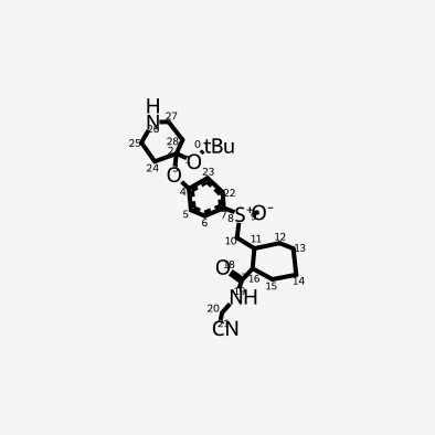 CC(C)(C)OC1(Oc2ccc([S+]([O-])CC3CCCCC3C(=O)NCC#N)cc2)CCNCC1